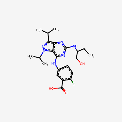 CCC(CO)Nc1nc(Nc2ccc(Cl)c(C(=O)O)c2)c2c(n1)c(C(C)C)nn2C(C)C